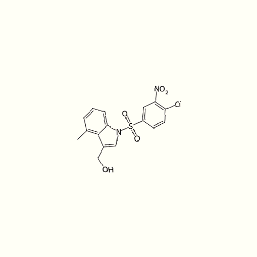 Cc1cccc2c1c(CO)cn2S(=O)(=O)c1ccc(Cl)c([N+](=O)[O-])c1